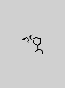 C=CS(=O)(=O)N1CCCC(C(C)CC)C1